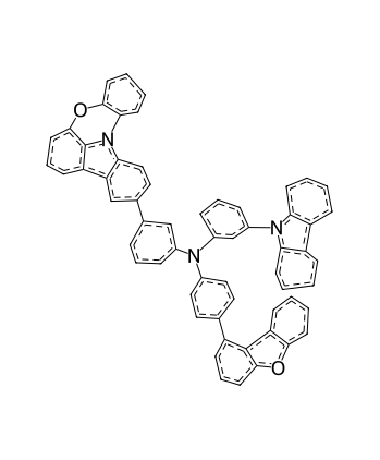 c1cc(-c2ccc3c(c2)c2cccc4c2n3-c2ccccc2O4)cc(N(c2ccc(-c3cccc4oc5ccccc5c34)cc2)c2cccc(-n3c4ccccc4c4ccccc43)c2)c1